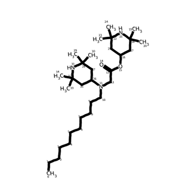 CCCCCCCCCCCN(CC(=O)OC1CC(C)(C)NC(C)(C)C1)C1CC(C)(C)NC(C)(C)C1